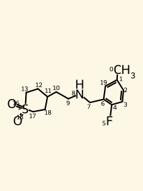 Cc1ccc(F)c(CNCCC2CCS(=O)(=O)CC2)c1